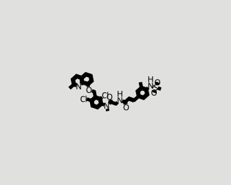 Cc1ccc2cccc(OCc3c(Cl)ccc(N(C)C(=O)CNC(=O)C=Cc4ccc(NS(C)(=O)=O)c(C)c4)c3Cl)c2n1